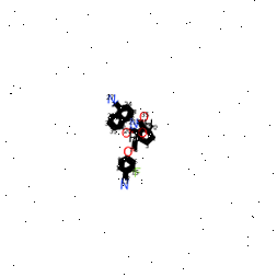 C[C@@]12CC[C@@](CCOc3ccc(C#N)c(F)c3)(O1)[C@H]1C(=O)N(c3ccc(C#N)c4ccccc34)C(=O)[C@H]12